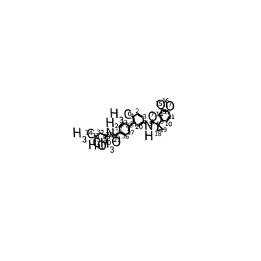 Cc1ccc(NC(=O)C2(c3ccc4c(c3)OCO4)CC2)cc1-c1ccc(C(=O)N[C@@H](CO)CC(C)C)cc1